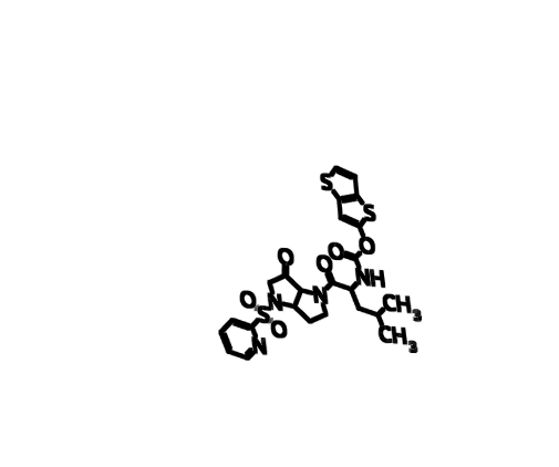 CC(C)CC(NC(=O)Oc1cc2sccc2s1)C(=O)N1CCC2C1C(=O)CN2S(=O)(=O)c1ccccn1